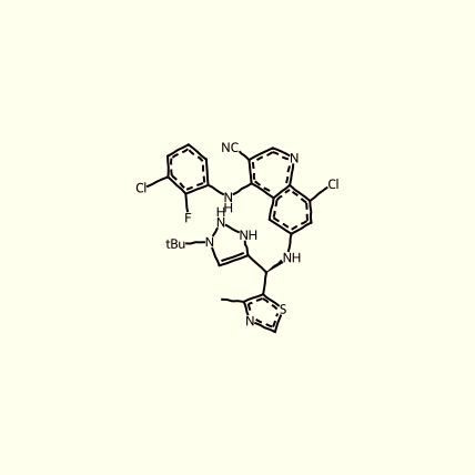 Cc1ncsc1[C@H](Nc1cc(Cl)c2ncc(C#N)c(Nc3cccc(Cl)c3F)c2c1)C1=CN(C(C)(C)C)NN1